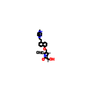 C[C@H]1C(COc2cccc3c(CC[N+]45CC[N+](C)(CC4)CC5)cccc23)=C(C=O)N2C(=O)[C@H]([C@@H](C)O)C12